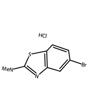 CNc1nc2cc(Br)ccc2s1.Cl